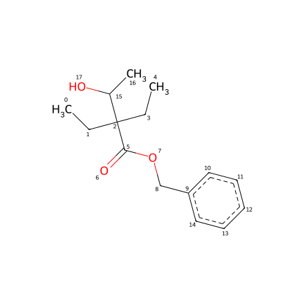 CCC(CC)(C(=O)OCc1ccccc1)C(C)O